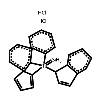 Cl.Cl.[SiH2]=[Ti]([C]1=CC=CC1)([c]1ccccc1)([c]1ccccc1)[CH]1C=Cc2ccccc21